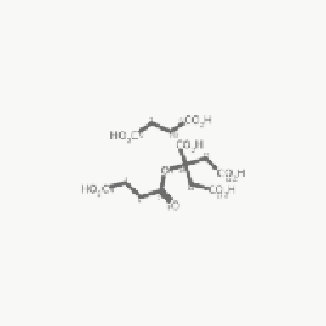 O=C(O)CCC(=O)O.O=C(O)CCC(=O)OC(CC(=O)O)(CC(=O)O)C(=O)O